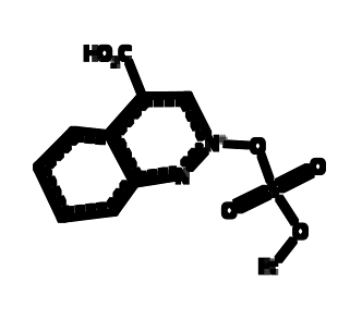 CCOS(=O)(=O)O[n+]1cc(C(=O)O)c2ccccc2n1